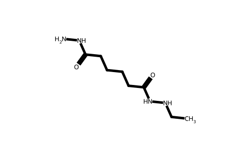 CCNNC(=O)CCCCC(=O)NN